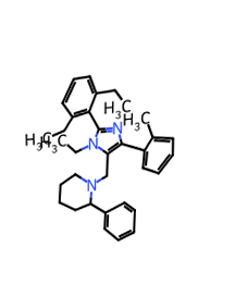 CCc1cccc(CC)c1-c1nc(-c2ccccc2C)c(CN2CCCCC2c2ccccc2)n1CC